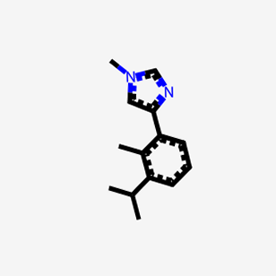 Cc1c(-c2cn(C)cn2)cccc1C(C)C